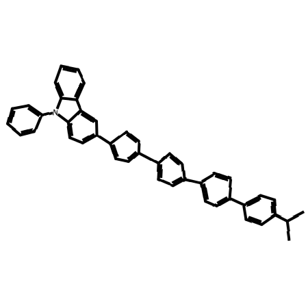 CC(C)c1ccc(-c2ccc(-c3ccc(-c4ccc(-c5ccc6c(c5)c5ccccc5n6-c5ccccc5)cc4)cc3)cc2)cc1